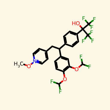 CO[n+]1ccc(CC(c2ccc(C(O)(C(F)(F)F)C(F)(F)F)cc2)c2ccc(OC(F)F)c(OC(F)F)c2)cc1